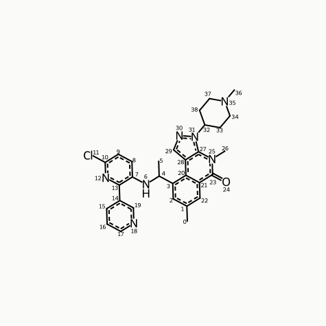 Cc1cc(C(C)Nc2ccc(Cl)nc2-c2cccnc2)c2c(c1)c(=O)n(C)c1c2cnn1C1CCN(C)CC1